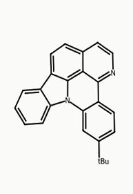 CC(C)(C)c1ccc2c3nccc4ccc5c6ccccc6n(c2c1)c5c43